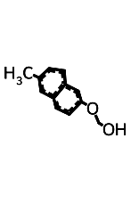 Cc1ccc2cc(OCO)ccc2c1